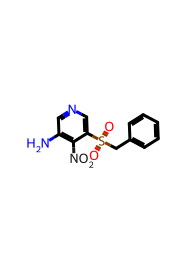 Nc1cncc(S(=O)(=O)Cc2ccccc2)c1[N+](=O)[O-]